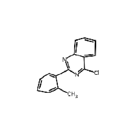 Cc1ccccc1-c1nc(Cl)c2ccccc2n1